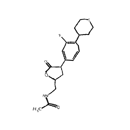 CC(=O)NCC1CC(c2ccc(C3CCSCC3)c(F)c2)C(=O)O1